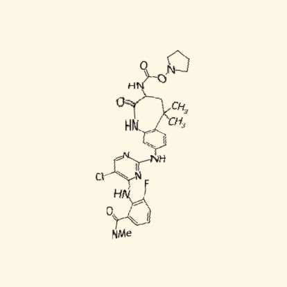 CNC(=O)c1cccc(F)c1Nc1nc(Nc2ccc3c(c2)NC(=O)C(NC(=O)ON2CCCC2)CC3(C)C)ncc1Cl